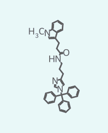 Cn1cc(CCC(=O)NCCCc2cn(C(c3ccccc3)(c3ccccc3)c3ccccc3)cn2)c2ccccc21